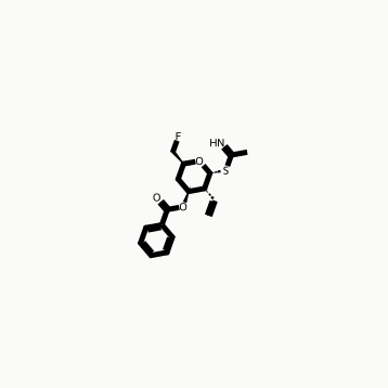 C=C[C@@H]1[C@@H](OC(=O)c2ccccc2)C[C@@H](CF)O[C@@H]1SC(C)=N